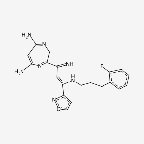 N=C(/C=C(\NCCCc1ccccc1F)c1ccon1)C1=NC(N)=CC(N)=NC1